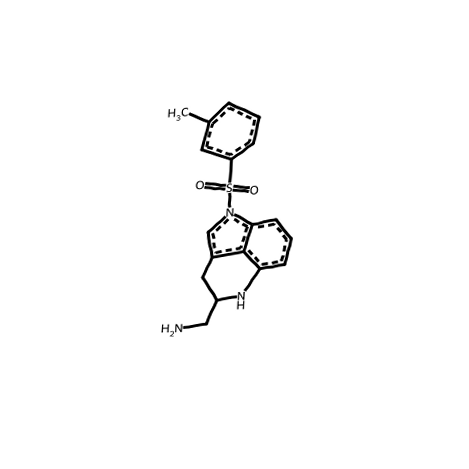 Cc1cccc(S(=O)(=O)n2cc3c4c(cccc42)NC(CN)C3)c1